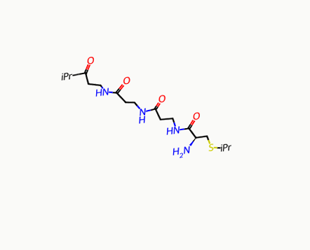 CC(C)SC[C@@H](N)C(=O)NCCC(=O)NCCC(=O)NCCC(=O)C(C)C